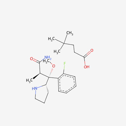 CC(C)(C)CCC(=O)O.CO[C@](c1ccccc1F)([C@@H]1CCCN1)[C@@H](C)C(N)=O